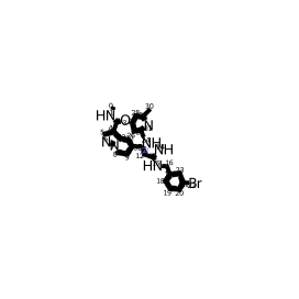 CNC(=O)c1cnn2ccc(/C(=C/C(=N)NCc3cccc(Br)c3)Nc3cccc(C)n3)cc12